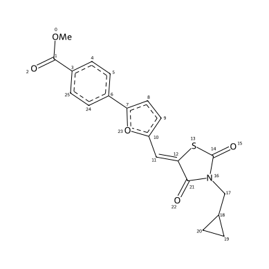 COC(=O)c1ccc(-c2ccc(/C=C3\SC(=O)N(CC4CC4)C3=O)o2)cc1